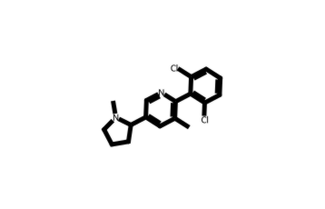 Cc1cc(C2CCCN2C)cnc1-c1c(Cl)cccc1Cl